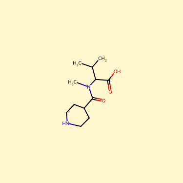 CC(C)C(C(=O)O)N(C)C(=O)C1CCNCC1